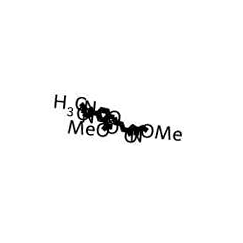 COCc1cc(CCCOc2ccc(-c3noc(C)n3)cc2C(=O)OC)on1